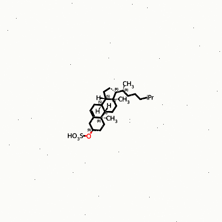 CC(C)CCC[C@@H](C)[C@H]1CC[C@H]2[C@@H]3CC=C4C[C@H](OS(=O)(=O)O)CC[C@]4(C)[C@H]3CC[C@]12C